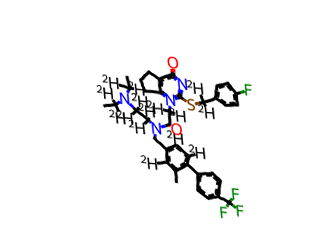 [2H]c1c([2H])c(-c2ccc(C(F)(F)F)cc2)c(C)c([2H])c1CN(C(=O)C([2H])([2H])n1c(SC([2H])([2H])c2ccc(F)cc2)nc(=O)c2c1CCC2)C([2H])([2H])C([2H])([2H])N(C([2H])([2H])C)C([2H])([2H])C